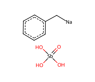 [Na][CH2]c1ccccc1.[O]=[Sb]([OH])([OH])[OH]